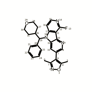 Cc1noc(C)c1-c1cnc2c3c(F)nccc3n(C(c3ccccc3)C3CCOCC3)c2c1